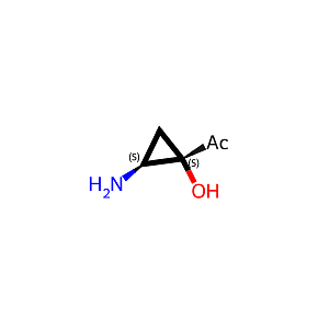 CC(=O)[C@]1(O)C[C@@H]1N